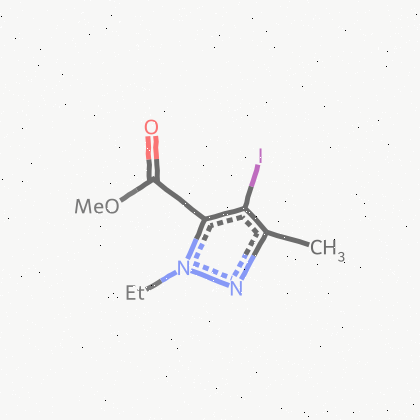 CCn1nc(C)c(I)c1C(=O)OC